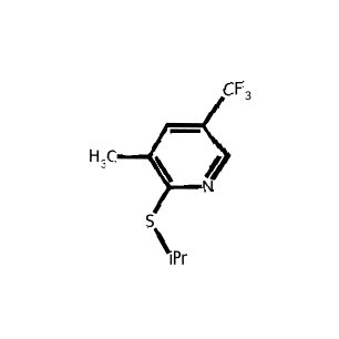 Cc1cc(C(F)(F)F)cnc1SC(C)C